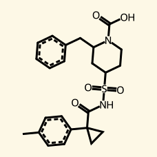 Cc1ccc(C2(C(=O)NS(=O)(=O)C3CCN(C(=O)O)C(Cc4ccccc4)C3)CC2)cc1